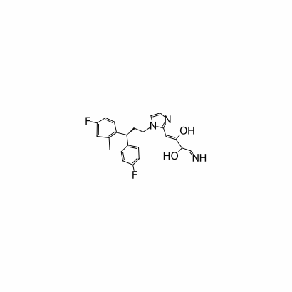 Cc1cc(F)ccc1[C@@H](CCn1ccnc1/C=C(\O)C(O)C=N)c1ccc(F)cc1